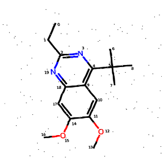 CCc1nc(C(C)(C)C)c2cc(OC)c(OC)cc2n1